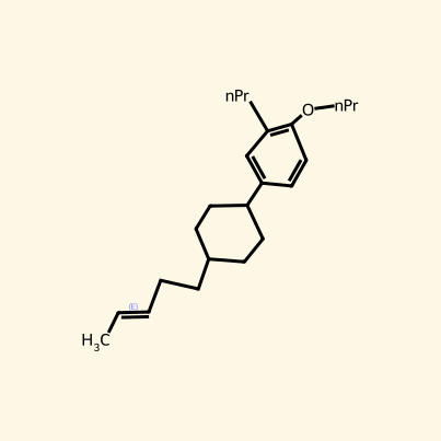 C/C=C/CCC1CCC(c2ccc(OCCC)c(CCC)c2)CC1